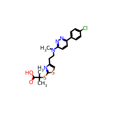 CN(CCc1csc(SC(C)(C)C(=O)O)n1)c1ccc(-c2ccc(Cl)cc2)nn1